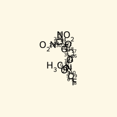 Cc1oc(-c2ccc(F)cc2)nc1CO[C@@H]1CCC[C@H](OC(=O)c2cc([N+](=O)[O-])cc([N+](=O)[O-])c2)C1